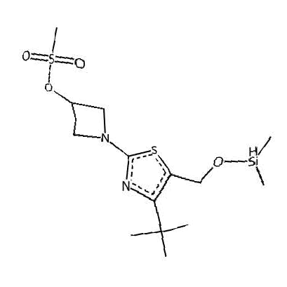 C[SiH](C)OCc1sc(N2CC(OS(C)(=O)=O)C2)nc1C(C)(C)C